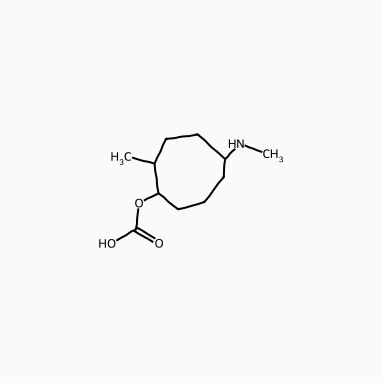 CNC1CCCC(OC(=O)O)C(C)CC1